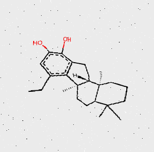 CCc1cc(O)c(O)c2c1[C@]1(C)CCC3C(C)(C)CCC[C@]3(C)[C@H]1C2